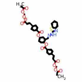 C=CC(=O)OCOOC(=O)/C=C/c1ccc(C(=O)Oc2ccc(OC(=O)c3ccc(/C=C/C(=O)OCOC(=O)C=C)cc3)c(/C=N/Nc3nc4ccccc4s3)c2)cc1